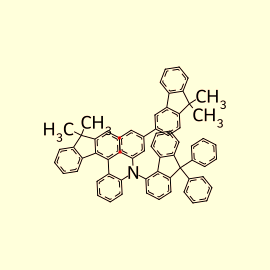 CC1(C)c2ccccc2-c2cc(-c3cccc(N(c4ccccc4-c4cccc5c4-c4ccccc4C5(C)C)c4cccc5c4-c4ccccc4C5(c4ccccc4)c4ccccc4)c3)ccc21